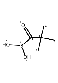 CC(C)(C)C(=O)B(O)O